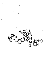 Cc1ncoc1CCc1ccc2c(c1)CN(C(=O)OC(C)(C)C)[C@H]([C@H](O)CNC(=O)c1ccnc(NC3CCC3)c1)C2